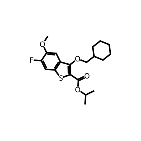 COc1cc2c(OCC3CCCCC3)c(C(=O)OC(C)C)sc2cc1F